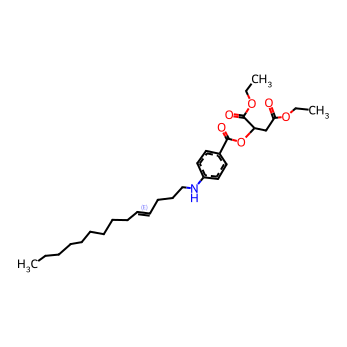 CCCCCCCCC/C=C/CCCNc1ccc(C(=O)OC(CC(=O)OCC)C(=O)OCC)cc1